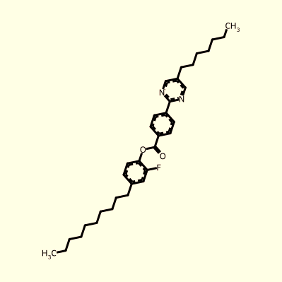 CCCCCCCCCCc1ccc(OC(=O)c2ccc(-c3ncc(CCCCCCC)cn3)cc2)c(F)c1